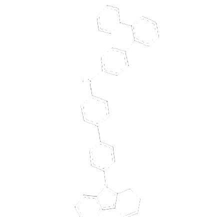 C1=Cc2c(n(-c3ccc(-c4ccc(Nc5ccc(-c6ccccc6-c6ccccc6)cc5)cc4)cc3)c3ccccc23)CC1